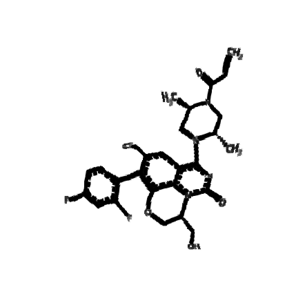 C=CC(=O)N1C[C@H](C)N(c2nc(=O)n3c4c(c(-c5ccc(F)cc5F)c(Cl)cc24)OC[C@@H]3CO)C[C@H]1C